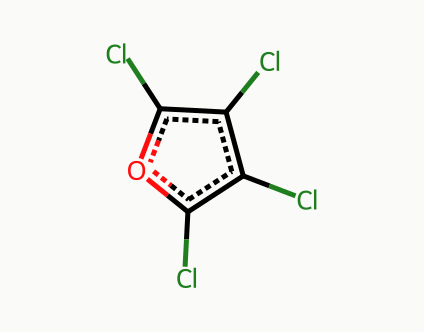 Clc1oc(Cl)c(Cl)c1Cl